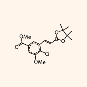 COC(=O)c1cc(C=CB2OC(C)(C)C(C)(C)O2)c(Cl)c(OC)c1